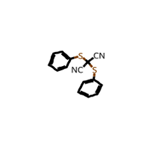 N#CC(C#N)(Sc1ccccc1)Sc1ccccc1